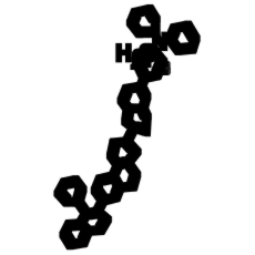 C=C(/C=C\C(=C/C)c1ccc2cc(-c3ccc4c(ccc5cc(-c6ccc7ccccc7c6-c6ccccc6)ccc54)c3)ccc2c1)N(c1ccccc1)c1ccccc1